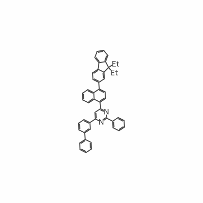 CCC1(CC)c2ccccc2-c2ccc(-c3ccc(-c4cc(-c5cccc(-c6ccccc6)c5)nc(-c5ccccc5)n4)c4ccccc34)cc21